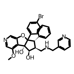 COc1cncc2c1[C@]1(O)[C@H](O)[C@H](CNCc3cccnc3)[C@@H](c3ccccc3)C1(c1ccc(Br)cc1)O2